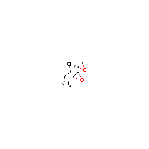 C1CO1.C1CO1.CCCC